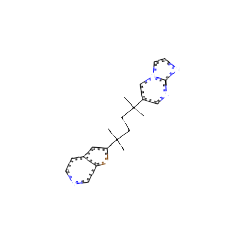 CC(C)(CCC(C)(C)c1cc2ccncc2s1)c1cnc2nccn2c1